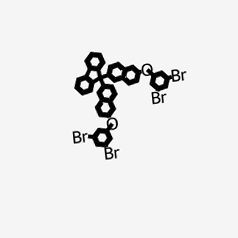 Brc1cc(Br)cc(Oc2ccc3cc(C4(c5ccc6cc(Oc7cc(Br)cc(Br)c7)ccc6c5)c5ccccc5-c5ccccc54)ccc3c2)c1